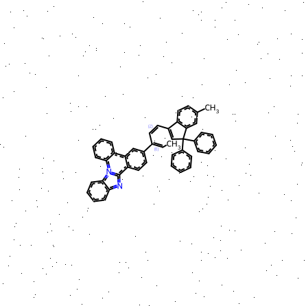 C/C=C(\C=C/C1=CC(c2ccccc2)(c2ccccc2)c2cc(C)ccc21)c1ccc2c(c1)c1ccccc1n1c3ccccc3nc21